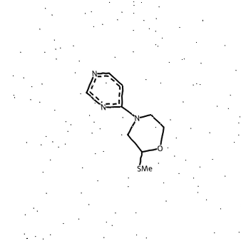 CSC1CN(c2ccncn2)CCO1